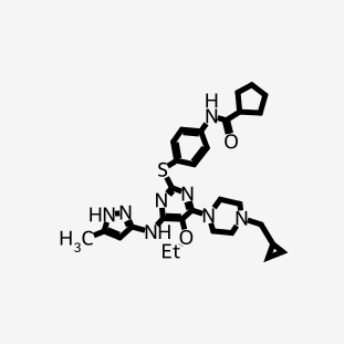 CCOc1c(Nc2cc(C)[nH]n2)nc(Sc2ccc(NC(=O)C3CCCC3)cc2)nc1N1CCN(CC2CC2)CC1